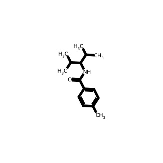 Cc1ccc(C(=O)NC(C(C)C)C(C)C)cc1